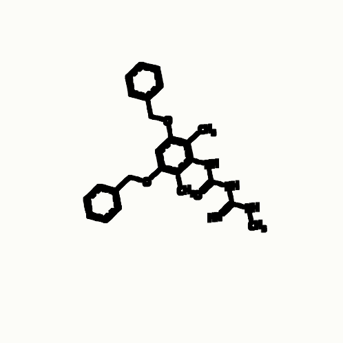 CNC(=N)NC(=O)Nc1c(C)c(OCc2ccccc2)cc(OCc2ccccc2)c1C